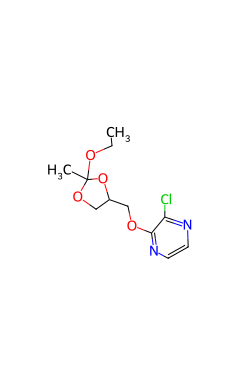 CCOC1(C)OCC(COc2nccnc2Cl)O1